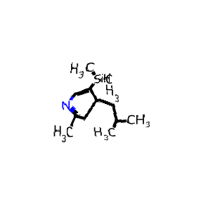 CC1=NC=C([SiH](C)C)C(CC(C)C)C1